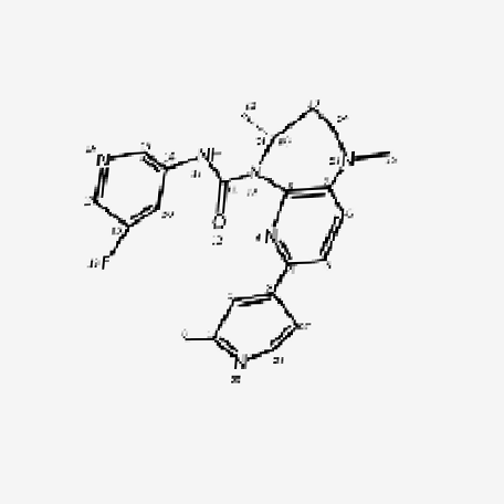 Cc1cc(-c2ccc3c(n2)N(C(=O)Nc2cncc(F)c2)[C@H](C)CCN3C)ccn1